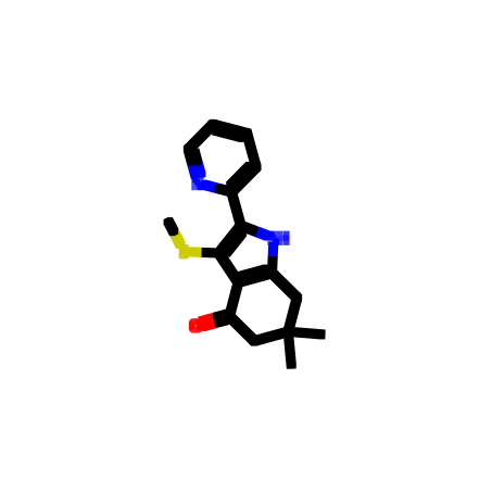 CSc1c(-c2ccccn2)[nH]c2c1C(=O)CC(C)(C)C2